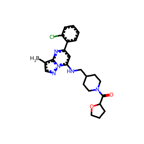 Bc1cnn2c(NCC3CCN(C(=O)C4CCCO4)CC3)cc(-c3ccccc3Cl)nc12